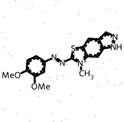 COc1ccc(/N=N/c2sc3cc4cn[nH]c4cc3[n+]2C)cc1OC